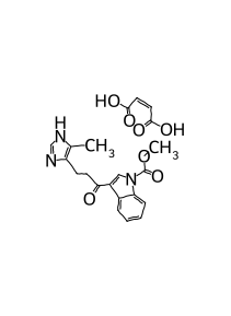 COC(=O)n1cc(C(=O)CCc2nc[nH]c2C)c2ccccc21.O=C(O)/C=C\C(=O)O